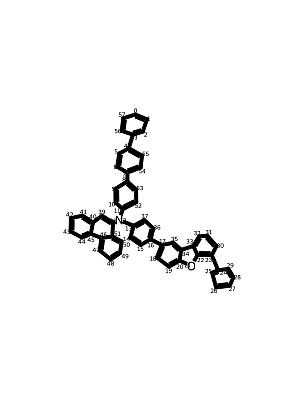 c1ccc(-c2ccc(-c3ccc(N(c4ccc(-c5ccc6oc7c(-c8ccccc8)cccc7c6c5)cc4)c4cc5ccccc5c5ccccc45)cc3)cc2)cc1